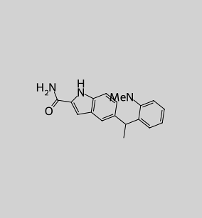 CNc1ccccc1C(C)c1ccc2[nH]c(C(N)=O)cc2c1